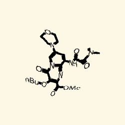 CCCCOc1c(C(=O)OC)nc2c(NC(=O)C(=O)N(C)C)cc(N3CCOCC3)cn2c1=O